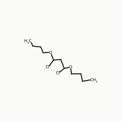 CCCCOC(Cl)CC(Cl)OCCCC